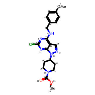 COc1ccc(CNc2nc(Cl)nc3c2cnn3C2CCN(C(=O)OC(C)(C)C)CC2)cc1